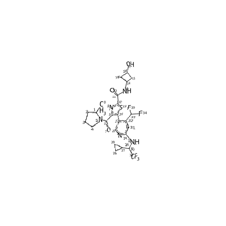 CC1CCCN1C(=O)c1nc(C(=O)NC2CC(O)C2)sc1-c1cnc(N[C@H](C2CC2)C(F)(F)F)cc1C(F)F